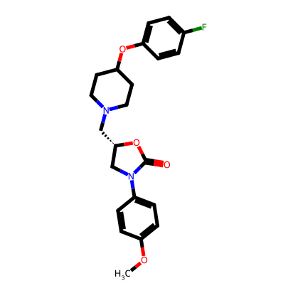 COc1ccc(N2C[C@H](CN3CCC(Oc4ccc(F)cc4)CC3)OC2=O)cc1